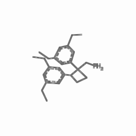 CCc1cc(CC)cc(C2CCC2(CP)c2cc(CC)cc(CC)c2)c1